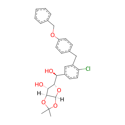 CC1(C)O[C@@H]2O[C@@H]([C@@H](O)c3ccc(Cl)c(Cc4ccc(OCc5ccccc5)cc4)c3)[C@@H](O)[C@@H]2O1